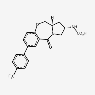 O=C(O)N[C@H]1C[C@H]2COc3ccc(-c4ccc(C(F)(F)F)cc4)cc3C(=O)N2C1